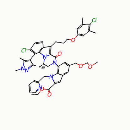 CCOC(=O)c1cc2cc(COCOC)cc(N3C[C@@H](C)n4c(c(CCCOc5cc(C)c(Cl)c(C)c5)c5ccc(Cl)c(-c6c(C)nn(C)c6C)c54)C3=O)c2n1Cc1ccccn1